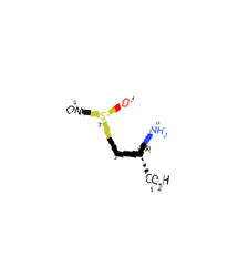 N[C@@H](C[S+]([O-])N=O)C(=O)O